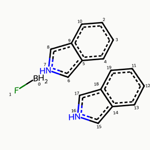 BF.c1ccc2c[nH]cc2c1.c1ccc2c[nH]cc2c1